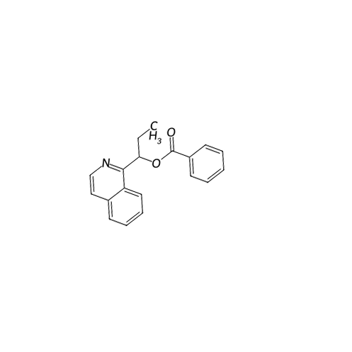 CCC(OC(=O)c1ccccc1)c1nccc2ccccc12